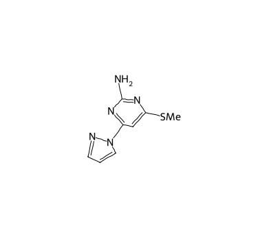 CSc1cc(-n2cccn2)nc(N)n1